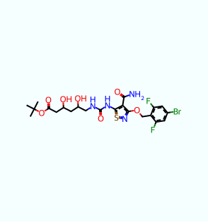 CC(C)(C)OC(=O)CC(O)CC(O)CNC(=O)Nc1snc(OCc2c(F)cc(Br)cc2F)c1C(N)=O